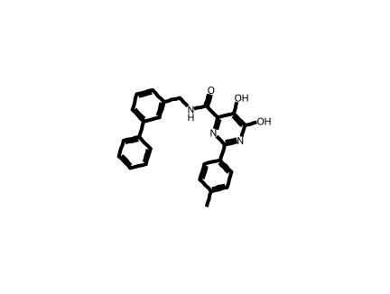 Cc1ccc(-c2nc(O)c(O)c(C(=O)NCc3cccc(-c4ccccc4)c3)n2)cc1